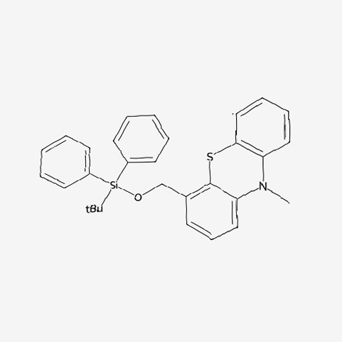 CN1c2ccc[c]c2Sc2c(CO[Si](c3ccccc3)(c3ccccc3)C(C)(C)C)cccc21